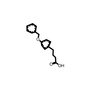 O=C(O)CCCc1ccc(OCc2ccccc2)cc1